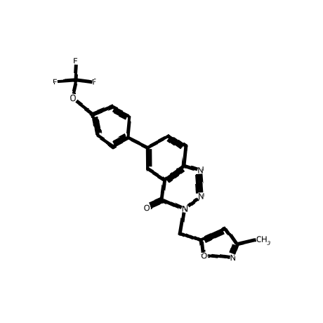 Cc1cc(Cn2nnc3ccc(-c4ccc(OC(F)(F)F)cc4)cc3c2=O)on1